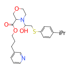 CC(C)c1ccc(SCC(O)N2CCOCC2C(=O)OCCCc2cccnc2)cc1